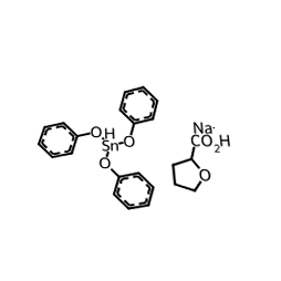 O=C(O)C1CCCO1.[Na].c1ccc([O][SnH]([O]c2ccccc2)[O]c2ccccc2)cc1